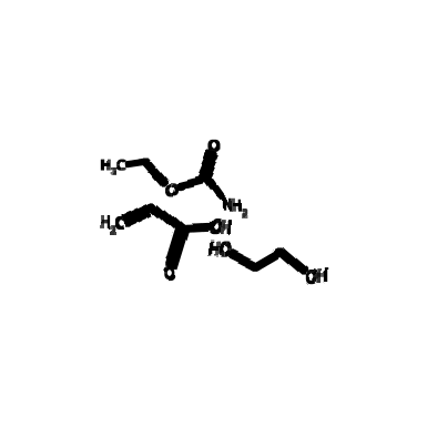 C=CC(=O)O.CCOC(N)=O.OCCO